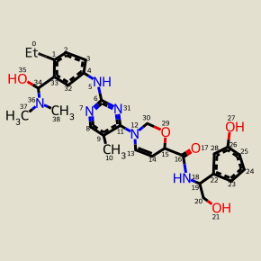 CCc1ccc(Nc2ncc(C)c(N3C=CC(C(=O)NC(CO)c4cccc(O)c4)OC3)n2)cc1C(O)N(C)C